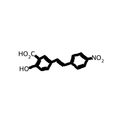 O=C(O)c1cc(/C=C/c2ccc([N+](=O)[O-])cc2)ccc1O